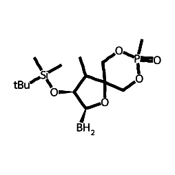 B[C@@H]1OC2(COP(C)(=O)OC2)C(C)[C@@H]1O[Si](C)(C)C(C)(C)C